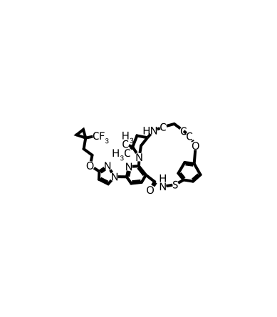 CC1(C)CC2CN1c1nc(-n3ccc(OCCC4(C(F)(F)F)CC4)n3)ccc1C(=O)NSc1ccc(cc1)OCCCCN2